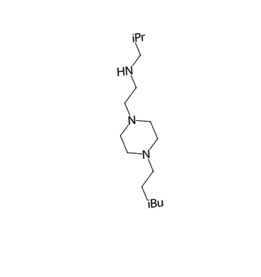 CCC(C)CCN1CCN(CCNCC(C)C)CC1